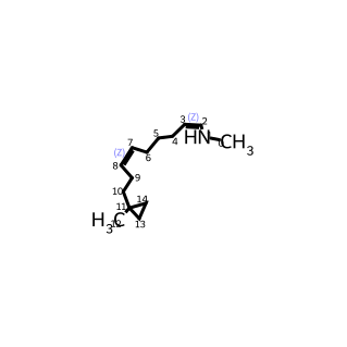 CN/C=C\CCC/C=C\CCC1(C)CC1